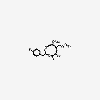 CCOOCc1cc(Br)c(C)cc(Cc2ccc(F)cc2)cncc1OC